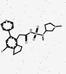 CN1CCC(N(C)S(=O)(=O)NC(=O)Cc2c(-c3ccncc3)cc(F)c3c2CCC3)C1